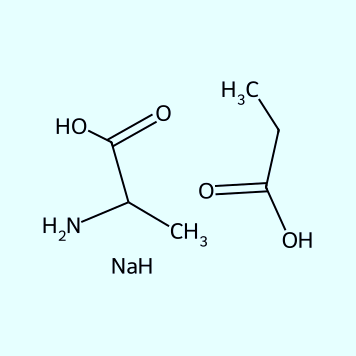 CC(N)C(=O)O.CCC(=O)O.[NaH]